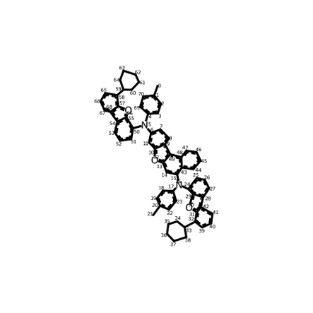 Cc1ccc(N(c2ccc3c(c2)oc2cc(N(c4ccc(C)cc4)c4cccc5c4oc4c(C6CCCCC6)cccc45)c4ccccc4c23)c2cccc3c2oc2c(C4CCCCC4)cccc23)cc1